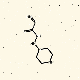 N=NC(=S)NNN1CCNCC1